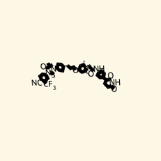 C[C@@H]1C[C@H](OCCC[C@H]2CC[C@H](N3C(=S)N(c4ccc(C#N)c(C(F)(F)F)c4)C(=O)C3(C)C)CC2)C[C@H](C)N1CC(=O)Nc1ccc(C2CCC(=O)NC2=O)cc1